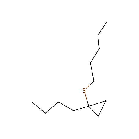 CCCCCSC1(CCCC)CC1